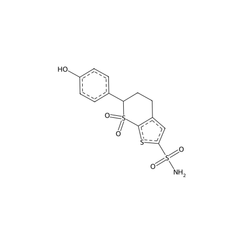 NS(=O)(=O)c1cc2c(s1)S(=O)(=O)C(c1ccc(O)cc1)CC2